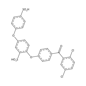 O=C(c1ccc(Oc2ccc(Oc3ccc(S(=O)(=O)O)cc3)cc2S(=O)(=O)O)cc1)c1cc(Cl)ccc1Cl